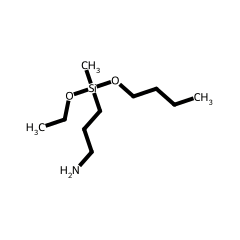 CCCCO[Si](C)(CCCN)OCC